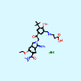 Br.CCOc1cc2c(cc1C(=O)NC)C(=N)N(CC(=O)c1cc(CNCCC(=O)O)c(O)c(C(C)(C)C)c1)C2